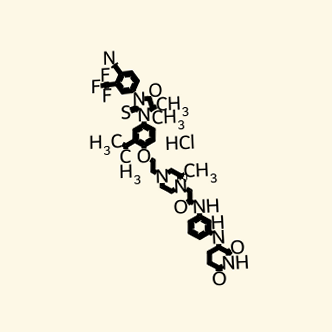 CC(C)c1cc(N2C(=S)N(c3ccc(C#N)c(C(F)(F)F)c3)C(=O)C2(C)C)ccc1OCCN1CCN(CC(=O)Nc2cccc(NC3CCC(=O)NC3=O)c2)[C@H](C)C1.Cl